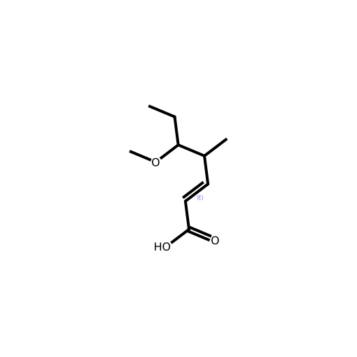 CCC(OC)C(C)/C=C/C(=O)O